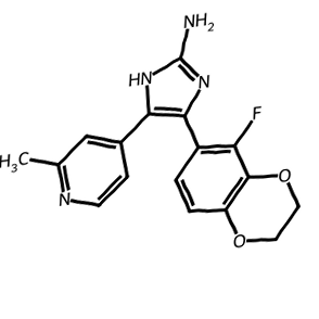 Cc1cc(-c2[nH]c(N)nc2-c2ccc3c(c2F)OCCO3)ccn1